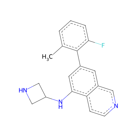 Cc1cccc(F)c1-c1cc(NC2CNC2)c2ccncc2c1